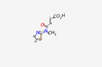 CN(C(=O)/C=C/C(=O)O)c1nccs1